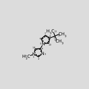 Cn1cnc(-n2ccc(C(C)(C)C)c2)c1